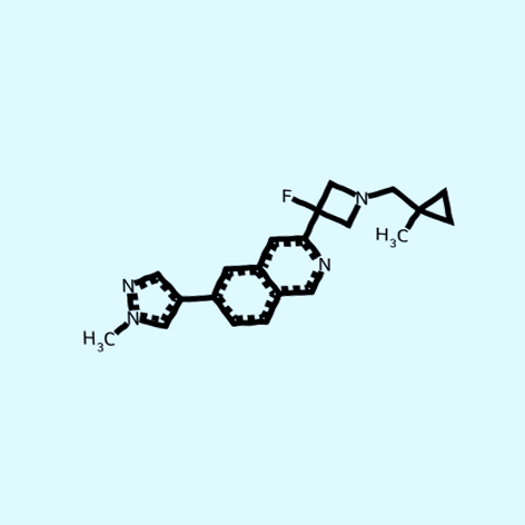 Cn1cc(-c2ccc3cnc(C4(F)CN(CC5(C)CC5)C4)cc3c2)cn1